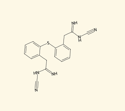 N#CNC(=N)Cc1ccccc1Sc1ccccc1CC(=N)NC#N